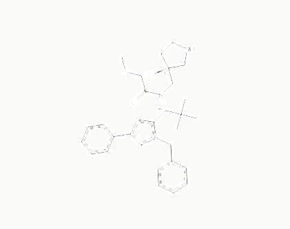 COCC(=O)N(C[C@]1(O)CCNC1)[C@@H](c1nc(-c2ccccc2)cn1Cc1ccccc1)C(C)(C)C